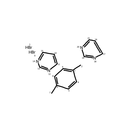 Br.Br.Cc1ccc(C)cc1.c1cncnc1.c1cncnc1